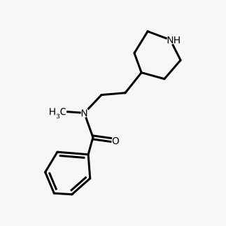 CN(CCC1CCNCC1)C(=O)c1ccccc1